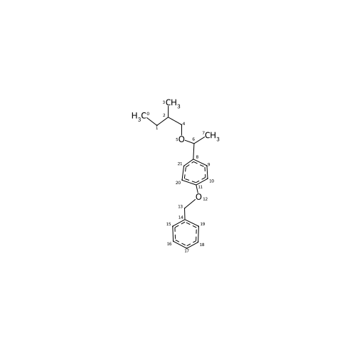 CCC(C)COC(C)c1ccc(OCc2ccccc2)cc1